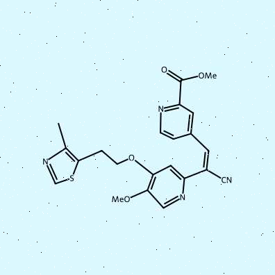 COC(=O)c1cc(C=C(C#N)c2cc(OCCc3scnc3C)c(OC)cn2)ccn1